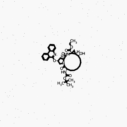 CCOC(=O)[C@@]12C[C@H]1[C@H](O)CCCCCC[C@H](NC(=O)OC(C)(C)C)C(=O)N1C[C@H](Oc3nc4ccccc4c4ccccc34)C[C@H]1C(=O)N2